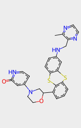 Cc1nccnc1CNc1ccc2c(c1)Sc1cccc(C3CN(c4cc[nH]c(=O)c4)CCO3)c1S2